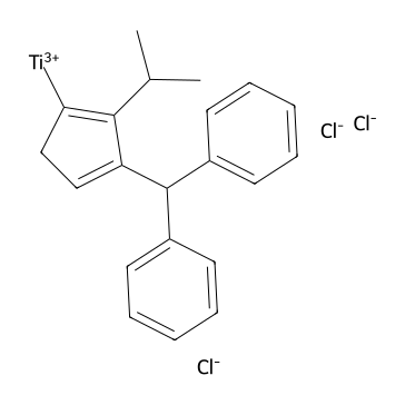 CC(C)C1=[C]([Ti+3])CC=C1C(c1ccccc1)c1ccccc1.[Cl-].[Cl-].[Cl-]